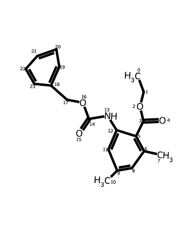 CCOC(=O)c1c(C)cc(C)cc1NC(=O)OCc1ccccc1